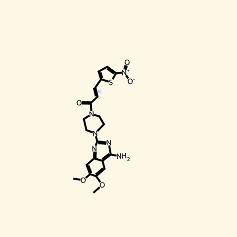 COc1cc2nc(N3CCN(C(=O)/C=C/c4ccc([N+](=O)[O-])s4)CC3)nc(N)c2cc1OC